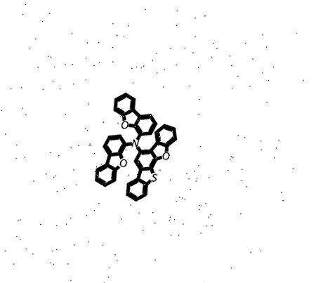 c1ccc2c(c1)oc1c(N(c3cccc4c3oc3ccccc34)c3cc4c5ccccc5sc4c4oc5ccccc5c34)cccc12